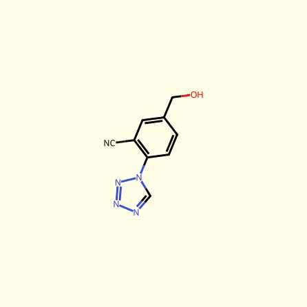 N#Cc1cc(CO)ccc1-n1cnnn1